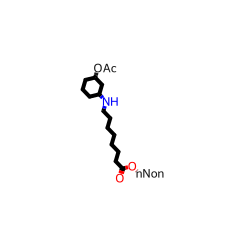 CCCCCCCCCOC(=O)CCCCCCCNC1CCCC(OC(C)=O)C1